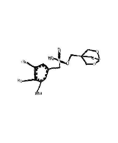 CC(C)(C)c1cc(CP(=O)(O)OCC23COP(OC2)OC3)cc(C(C)(C)C)c1O